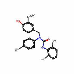 COc1cc(CN(C(=O)Nc2c(C(C)C)cccc2C(C)C)c2ccc(C(C)C)cc2)ccc1O